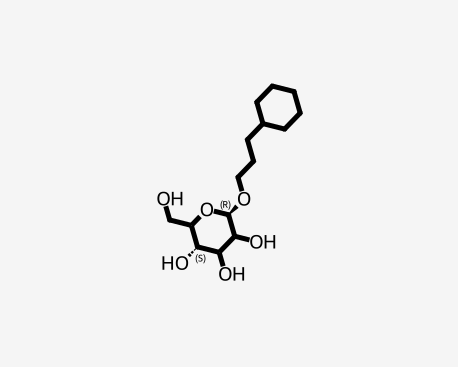 OCC1O[C@@H](OCCCC2CCCCC2)C(O)C(O)[C@@H]1O